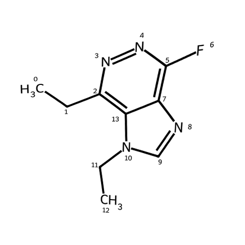 CCc1nnc(F)c2ncn(CC)c12